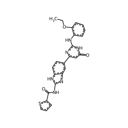 CCOc1ccccc1Nc1nc(-c2ccc3[nH]c(NC(=O)c4cccs4)nc3c2)cc(=O)[nH]1